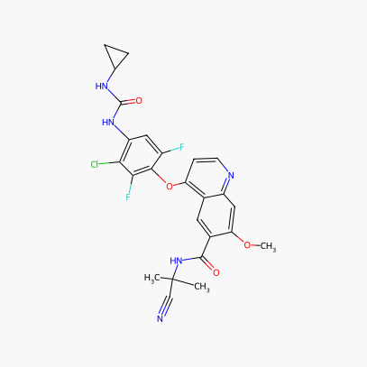 COc1cc2nccc(Oc3c(F)cc(NC(=O)NC4CC4)c(Cl)c3F)c2cc1C(=O)NC(C)(C)C#N